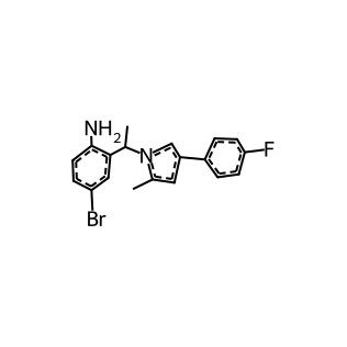 Cc1cc(-c2ccc(F)cc2)cn1C(C)c1cc(Br)ccc1N